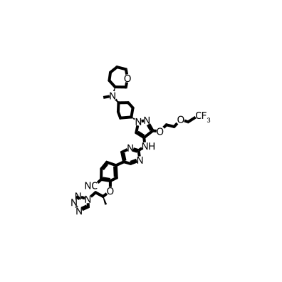 C[C@@H](Cn1cnnn1)Oc1cc(-c2cnc(Nc3cn([C@H]4CC[C@H](N(C)[C@@H]5CCCCOC5)CC4)nc3OCCOCC(F)(F)F)nc2)ccc1C#N